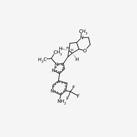 CC(C)n1nc(-c2cnc(N)c(C(F)(F)F)c2)cc1C1[C@@H]2C3OCCN(C)C3C[C@H]12